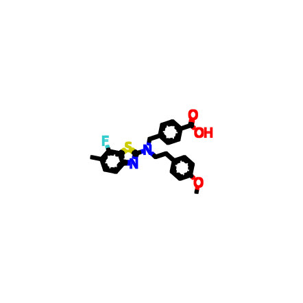 COc1ccc(CCN(Cc2ccc(C(=O)O)cc2)c2nc3ccc(C)c(F)c3s2)cc1